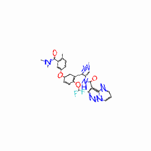 Cc1ccc(Oc2ccc(OC(F)F)c(-c3nn(C)cc3NC(=O)c3cnn4cccnc34)c2)cc1C(=O)N(C)C